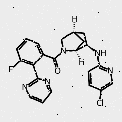 O=C(c1cccc(F)c1-c1ncccn1)N1C[C@H]2C[C@@H](Nc3ccc(Cl)cn3)[C@@H]1C2